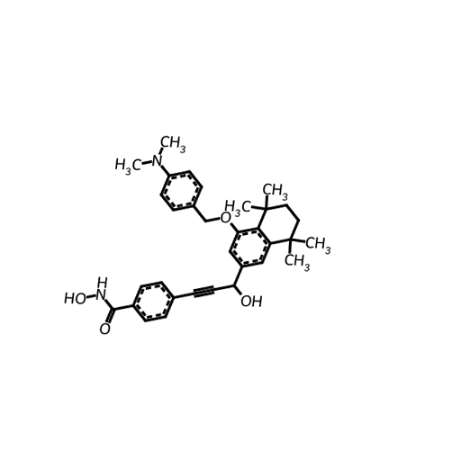 CN(C)c1ccc(COc2cc(C(O)C#Cc3ccc(C(=O)NO)cc3)cc3c2C(C)(C)CCC3(C)C)cc1